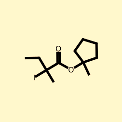 CCC(C)(I)C(=O)OC1(C)CCCC1